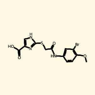 COc1ccc(NC(=O)CSc2nc(C(=O)O)c[nH]2)cc1Br